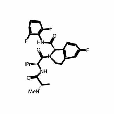 CN[C@@H](C)C(=O)N[C@H](C(=O)N1CCc2cc(F)ccc2[C@@H]1C(=O)Nc1c(F)cccc1F)C(C)C